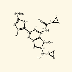 CC(=O)Nc1nc(C)c(-c2cc3c(c(NC(=O)C4CC4)n2)C(=O)N([C@@H](C)C2CC2)C3)s1